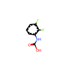 O=C(O)Nc1cccc(F)c1F